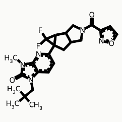 Cn1c(=O)n(CC(C)(C)C)c2ccc(C34CC5CN(C(=O)c6ccon6)CC5C3C4(F)F)nc21